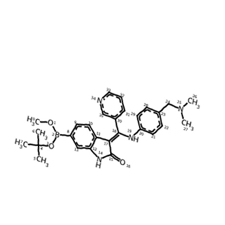 COB(OC(C)(C)C)c1ccc2c(c1)NC(=O)/C2=C(\Nc1ccc(CN(C)C)cc1)c1cccnc1